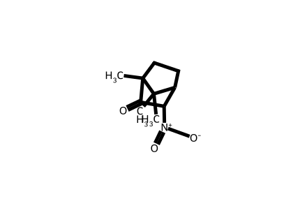 CC12CCC(C([N+](=O)[O-])C1=O)C2(C)C